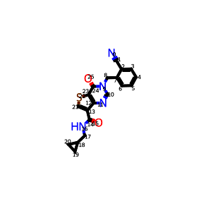 N#Cc1ccccc1Cn1cnc2c(C(=O)NCC3CC3)csc2c1=O